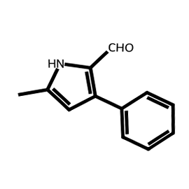 Cc1cc(-c2ccccc2)c(C=O)[nH]1